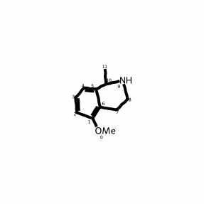 COc1cccc2c1CCNC2C